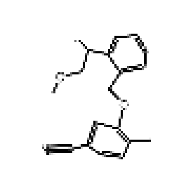 [CH2]C(COC)c1ccccc1COc1cc(C#N)ccc1C